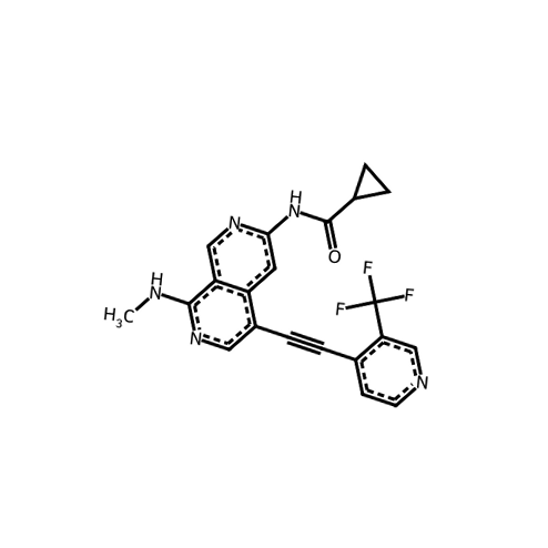 CNc1ncc(C#Cc2ccncc2C(F)(F)F)c2cc(NC(=O)C3CC3)ncc12